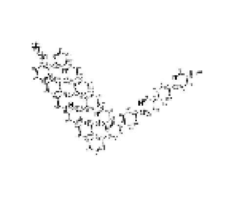 [Cl-].[Cl-].[Cl-].[Cl-].[Ru+4].c1ccc(-c2ccccn2)nc1.c1ccc(-c2ccccn2)nc1.c1ccc(-c2ccccn2)nc1.c1ccc(-c2ccccn2)nc1.c1ccc(-c2ccccn2)nc1.c1ccc(-c2ccccn2)nc1.c1ccc(-c2ccccn2)nc1.c1ccc(-c2ccccn2)nc1